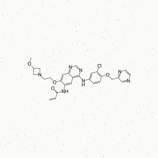 C=CC(=O)Nc1cc2c(Nc3ccc(OCc4cnccn4)c(Cl)c3)ncnc2cc1OCCN1CC(OC)C1